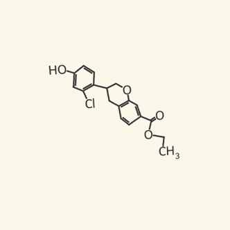 CCOC(=O)c1ccc2c(c1)OCC(c1ccc(O)cc1Cl)C2